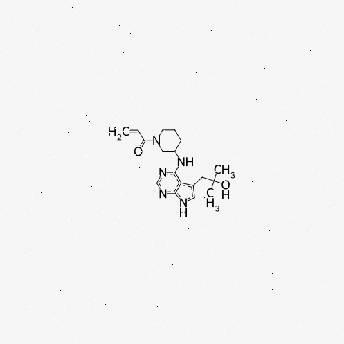 C=CC(=O)N1CCCC(Nc2ncnc3[nH]cc(CC(C)(C)O)c23)C1